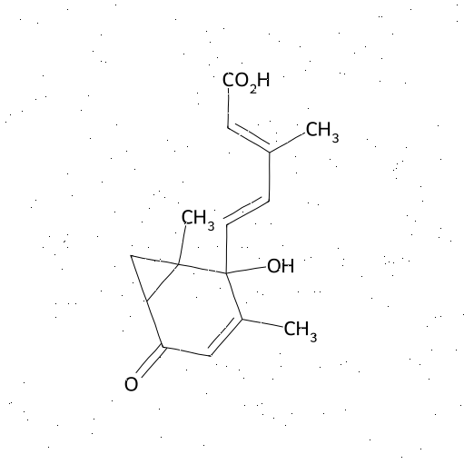 CC(C=CC1(O)C(C)=CC(=O)C2CC21C)=CC(=O)O